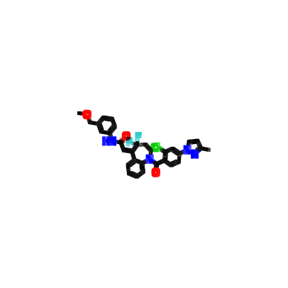 COCc1cccc(NC(=O)/C=C2/c3ccccc3N(C(=O)c3ccc(-n4ccc(C)n4)cc3Cl)CCC2(F)F)c1